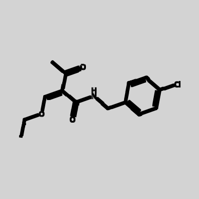 CCO/C=C(/C(C)=O)C(=O)NCc1ccc(Cl)cc1